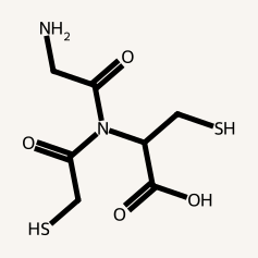 NCC(=O)N(C(=O)CS)C(CS)C(=O)O